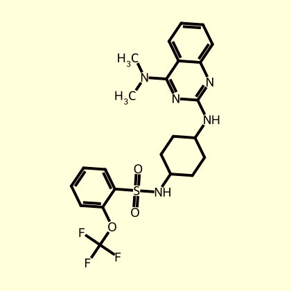 CN(C)c1nc(NC2CCC(NS(=O)(=O)c3ccccc3OC(F)(F)F)CC2)nc2ccccc12